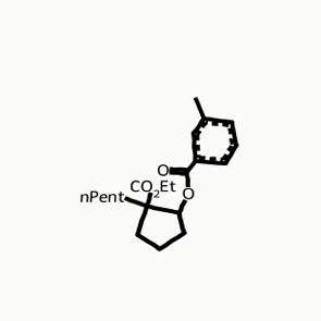 CCCCCC1(C(=O)OCC)CCCC1OC(=O)c1cccc(C)c1